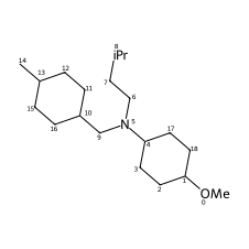 COC1CCC(N(CCC(C)C)CC2CCC(C)CC2)CC1